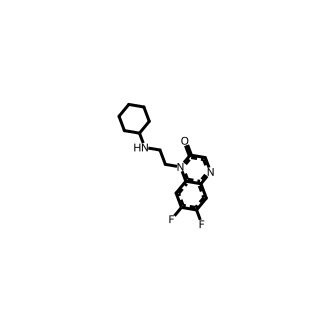 O=c1cnc2cc(F)c(F)cc2n1CCNC1CCCCC1